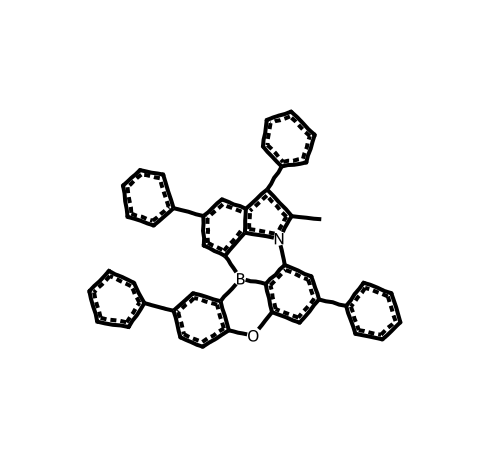 Cc1c(-c2ccccc2)c2cc(-c3ccccc3)cc3c2n1-c1cc(-c2ccccc2)cc2c1B3c1cc(-c3ccccc3)ccc1O2